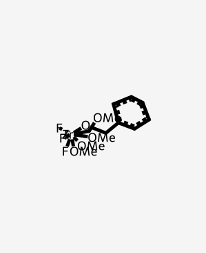 CO[CH2][Zr]([F])([F])([F])([F])([O]C)([O]C)([O]C)[O]Cc1ccccc1